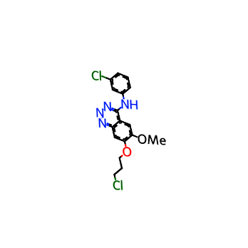 COc1cc2c(Nc3cccc(Cl)c3)nnnc2cc1OCCCCl